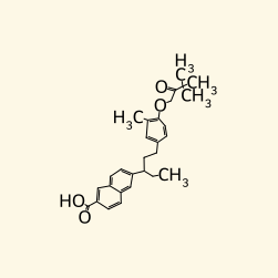 CCC(CCc1ccc(OCC(=O)C(C)(C)C)c(C)c1)c1ccc2cc(C(=O)O)ccc2c1